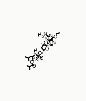 CCOc1nc(N)nc2c1ncn2[C@@H]1O[C@H](CO[P@@](=O)(O)N[C@H](COC(=O)C(C)C)CC(C)C)C[C@@]1(C)Cl